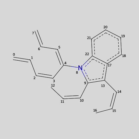 C=C/C=C\C(=C/C=C)n1c(/C=C\C)c(/C=C\C)c2ccccc21